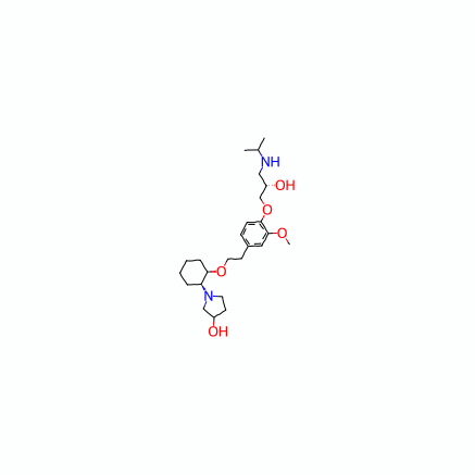 COc1cc(CCO[C@@H]2CCCC[C@@H]2N2CCC(O)C2)ccc1OC[C@@H](O)CNC(C)C